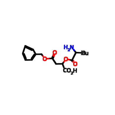 CCC(C)C(N)C(=O)OC(CC(=O)OCc1ccccc1)C(=O)O